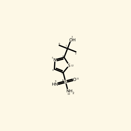 CC(C)(O)c1ncc(S(=N)(N)=O)s1